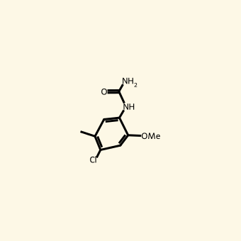 COc1cc(Cl)c(C)cc1NC(N)=O